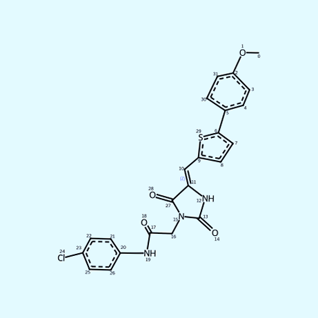 COc1ccc(-c2ccc(/C=C3\NC(=O)N(CC(=O)Nc4ccc(Cl)cc4)C3=O)s2)cc1